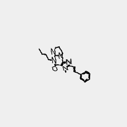 CCCCN1C(=O)c2c(nc(C=Cc3ccccc3)n2C)N2CCCN=C12